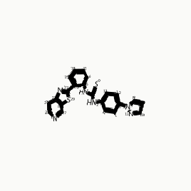 S=C(Nc1ccc(-n2cccn2)cc1)Nc1ccccc1-c1nc2ccncc2s1